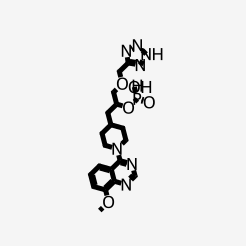 COc1cccc2c(N3CCC(CC(COCc4nn[nH]n4)O[PH](=O)O)CC3)ncnc12